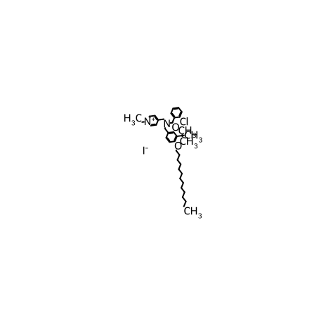 CCCCCCCCCCCCCCOc1ccc(CN(Cc2cc[n+](CC)cc2)C(=O)c2ccccc2Cl)cc1C(C)(C)C.[I-]